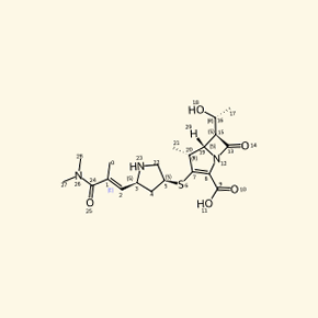 C/C(=C\[C@@H]1C[C@H](SC2=C(C(=O)O)N3C(=O)[C@H]([C@@H](C)O)[C@H]3[C@H]2C)CN1)C(=O)N(C)C